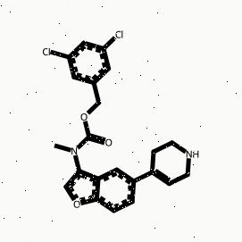 CN(C(=O)OCc1cc(Cl)cc(Cl)c1)c1coc2ccc(C3=CCNCC3)cc12